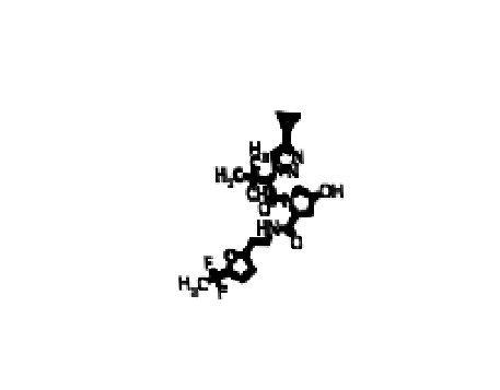 CC(C)(C)C(C(=O)N1CC(O)CC1C(=O)NCCC1CCC(C(C)(F)F)O1)n1cc(C2CC2)nn1